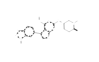 COc1nc(N[C@@H]2CCC(=O)N(C)C2)nc2[nH]cc(-c3ccc4nnn(C)c4c3)c12